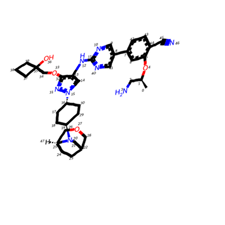 C[C@@H](CN)Oc1cc(-c2cnc(Nc3cn([C@H]4CC[C@H](N5CC6CC[C@H]5COC6)CC4)nc3OCC3(O)CCC3)nc2)ccc1C#N